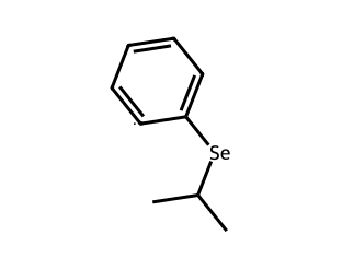 CC(C)[Se]c1[c]cccc1